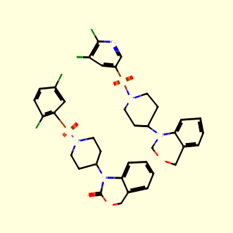 O=C1OCc2ccccc2N1C1CCN(S(=O)(=O)c2cc(Cl)ccc2Cl)CC1.O=S(=O)(c1cnc(Cl)c(Br)c1)N1CCC(N2COCc3ccccc32)CC1